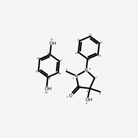 CN1C(=O)C(C)(O)CN1c1ccccc1.Oc1ccc(O)cc1